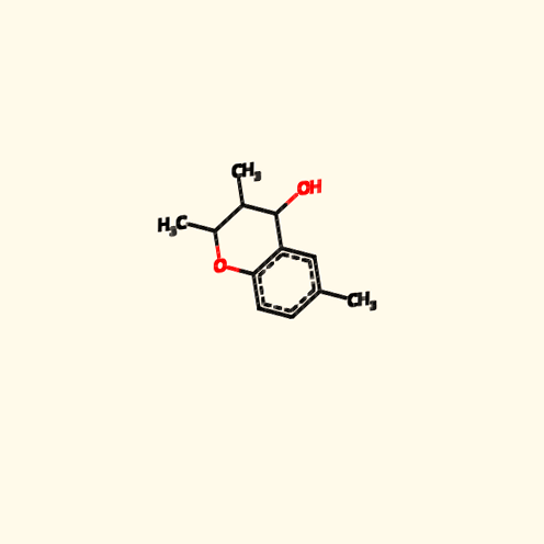 Cc1ccc2c(c1)C(O)C(C)C(C)O2